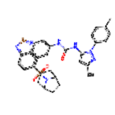 Cc1ccc(-n2nc(C(C)(C)C)cc2NC(=O)Nc2cccc(CC3CC4CCC(C3)N4S(=O)(=O)c3ccc4nsnc4c3)c2)cc1